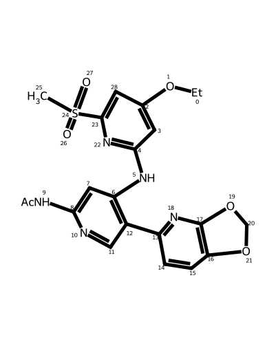 CCOc1cc(Nc2cc(NC(C)=O)ncc2-c2ccc3c(n2)OCO3)nc(S(C)(=O)=O)c1